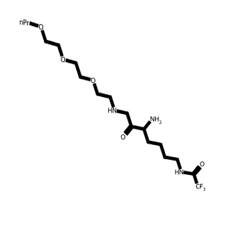 CCCOCCOCCOCCNCC(=O)C(N)CCCCNC(=O)C(F)(F)F